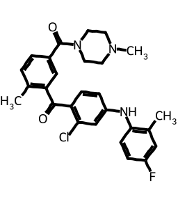 Cc1cc(F)ccc1Nc1ccc(C(=O)c2cc(C(=O)N3CCN(C)CC3)ccc2C)c(Cl)c1